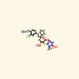 COc1ccc(CCC2(C3CCCC3)CC(O)=C(Sc3nnc(O)n3C(C)C)C(=O)O2)cc1Cl